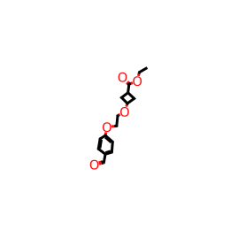 CCOC(=O)C1CC(OCCOc2ccc(C=O)cc2)C1